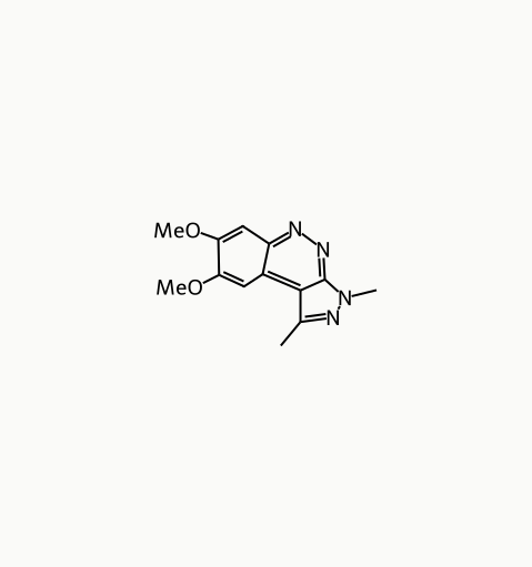 COc1cc2nnc3c(c(C)nn3C)c2cc1OC